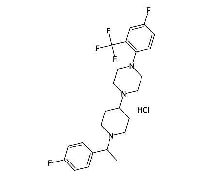 CC(c1ccc(F)cc1)N1CCC(N2CCN(c3ccc(F)cc3C(F)(F)F)CC2)CC1.Cl